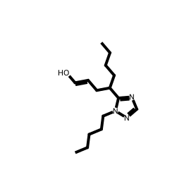 CCCCCn1ncnc1C(CC=CO)CCCC